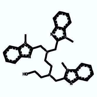 Cn1c(CN(CCO)CCN(Cc2nc3ccccc3n2C)Cc2nc3ccccc3n2C)nc2ccccc21